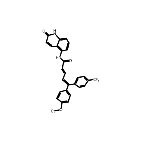 CCOc1ccc(/C(=C/C=C/C(=O)Nc2cccc3[nH]c(=O)ccc23)c2ccc(C(F)(F)F)cc2)cc1